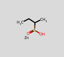 CCC(C)S(=O)O.[Zn]